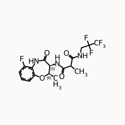 CC(C(=O)NCC(F)(F)C(F)(F)F)C(=O)N[C@@H]1C(=O)Nc2c(F)cccc2O[C@@H]1C